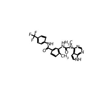 Cc1ccc(C(=O)Nc2ccc(C(F)(F)F)cc2)cc1NC(=O)N(C)c1ncnc2[nH]ccc12